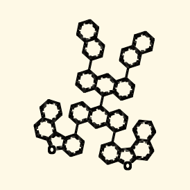 c1ccc2cc(-c3cccc4c(-c5c6cccc(-c7cccc8oc9ccc%10ccccc%10c9c78)c6cc6c(-c7cccc8oc9ccc%10ccccc%10c9c78)cccc56)c5cccc(-c6ccc7ccccc7c6)c5cc34)ccc2c1